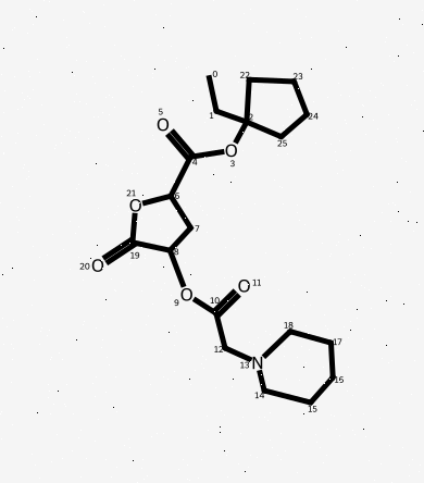 CCC1(OC(=O)C2CC(OC(=O)CN3CCCCC3)C(=O)O2)CCCC1